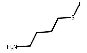 NCCCCSI